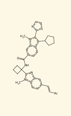 CC(=O)/C=C/c1ccc2c(c1)nc(C1(NC(=O)c3ccc4c(C5CCCC5)c(-c5nccs5)n(C)c4c3)CCC1)n2C